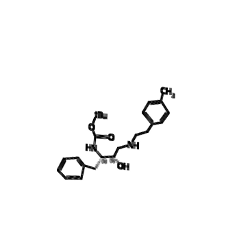 Cc1ccc(CCNC[C@H](O)[C@H](Cc2ccccc2)NC(=O)OC(C)(C)C)cc1